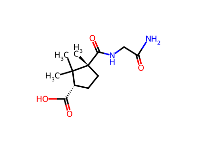 CC1(C)[C@@H](C(=O)O)CC[C@@]1(C)C(=O)NCC(N)=O